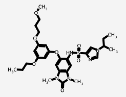 CCCOc1cc(OCCCOC)cc(Oc2cc3c(cc2NS(=O)(=O)c2cn(C(C)CC)cn2)n(C)c(=O)n3C)c1